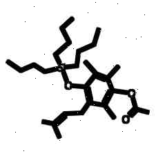 CCCC[Si](CCCC)(CCCC)Oc1c(C)c(C)c(OC(C)=O)c(C)c1CC=C(C)C